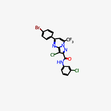 O=C(Nc1cccc(Cl)c1)c1nn2c(C(F)(F)F)cc(-c3ccc(Br)cc3)nc2c1Cl